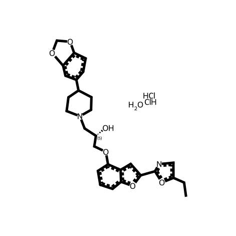 CCc1cnc(-c2cc3c(OC[C@@H](O)CN4CCC(c5ccc6c(c5)OCO6)CC4)cccc3o2)o1.Cl.Cl.O